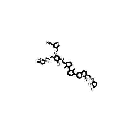 Cc1c(COc2cc(OCc3cncc(C#N)c3)c(CNC[C@@H]3CCC(=O)N3)cc2Cl)cccc1-c1cccc(-c2ccn3c(=O)c(CNC[C@H]4CCC(=O)N4)ccc3c2)c1C